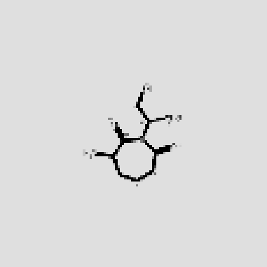 NC1CCCC(=O)N([C@H]([C]=O)CS)C1=O